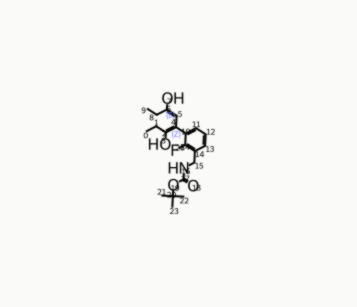 CC/C(O)=C(\C=C(\O)CC)c1cccc(CNC(=O)OC(C)(C)C)c1F